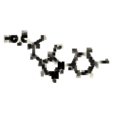 Cc1ccc(-n2ncc(C[C@@H](C)C(=O)O)c2C)cc1